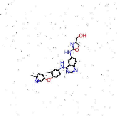 Cc1ccc(Oc2ccc(Nc3ncnc4ccc(NC5=NC(CO)CO5)cc34)cc2C)cn1